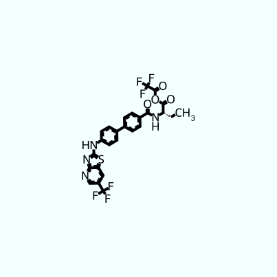 CC[C@H](NC(=O)c1ccc(-c2ccc(Nc3nc4ncc(C(F)(F)F)cc4s3)cc2)cc1)C(=O)OC(=O)C(F)(F)F